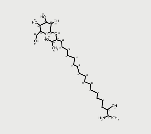 CC(N)C(O)CCCCCCCCCCCCCCCCC(OC1OC(CO)C(O)C(O)C1O)C(C)O